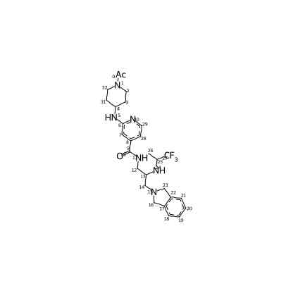 CC(=O)N1CCC(Nc2cc(C(=O)NCC(CN3Cc4ccccc4C3)NC(C)C(F)(F)F)ccn2)CC1